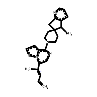 C=C/C=C(\C)c1cnc(N2CCC3(CC2)Cc2ncccc2C3N)c2ccnn12